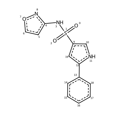 O=S(=O)(Nc1ccon1)c1c[nH]c(-c2ccccc2)c1